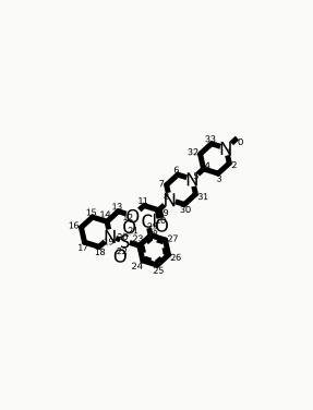 CN1CCC(N2CCN(C(=O)COCC3CCCCN3S(=O)(=O)c3ccccc3Cl)CC2)CC1